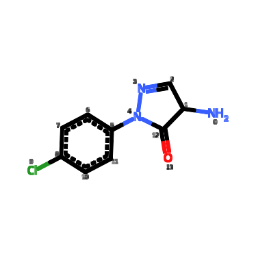 NC1C=NN(c2ccc(Cl)cc2)C1=O